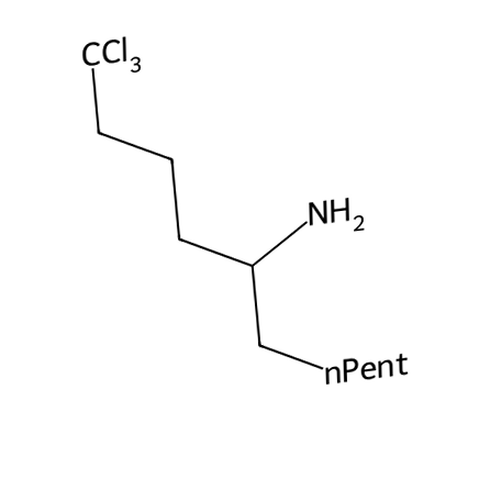 CCCCCCC(N)CCCC(Cl)(Cl)Cl